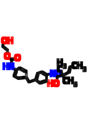 CC=CC(C)(C)C(O)Nc1ccc(Cc2ccc(NC(=O)OCCO)cc2)cc1